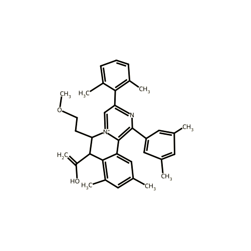 C=C(O)C1c2c(C)cc(C)cc2-c2c(-c3cc(C)cc(C)c3)nc(-c3c(C)cccc3C)c[n+]2C1CCOC